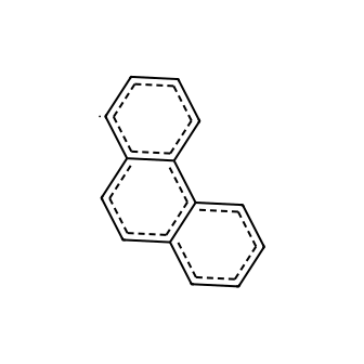 [c]1cccc2c1ccc1ccccc12